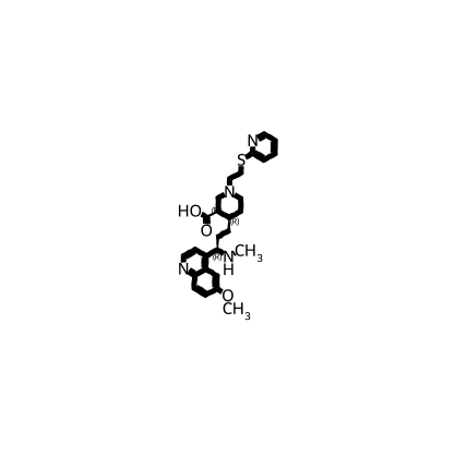 CN[C@H](CC[C@@H]1CCN(CCSc2ccccn2)C[C@@H]1C(=O)O)c1ccnc2ccc(OC)cc12